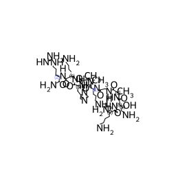 C[C@H](NC(=O)[C@@H](NC(=O)[C@@H](N)CCCCN)[C@@H](O)CN)C(=O)NCC(=O)/N=C(\CCCN)C(=O)N(C)[C@@H](C)C(=O)N[C@@H](Cc1cnc[nH]1)C(=O)N[C@@H](CCCCN)C(=O)N/C(=C\CCNC(=N)N)C(N)=O